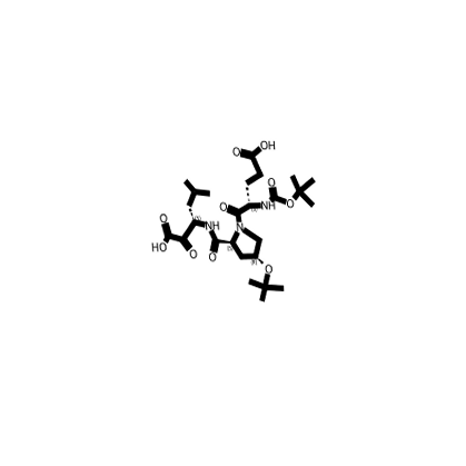 CC(C)C[C@H](NC(=O)[C@@H]1C[C@@H](OC(C)(C)C)CN1C(=O)[C@H](CCC(=O)O)NC(=O)OC(C)(C)C)C(=O)C(=O)O